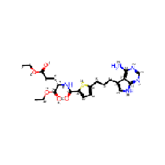 CCOC(=O)CC[C@H](NC(=O)c1ccc(CCCc2c[nH]c3ncnc(N)c23)s1)C(=O)OCC